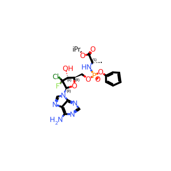 CC(C)OC(=O)[C@H](C)NP(=O)(OC[C@H]1O[C@@H](n2cnc3c(N)ncnc32)[C@](F)(Cl)[C@@H]1O)Oc1ccccc1